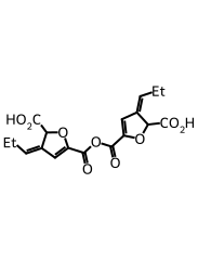 CCC=C1C=C(C(=O)OC(=O)C2=CC(=CCC)C(C(=O)O)O2)OC1C(=O)O